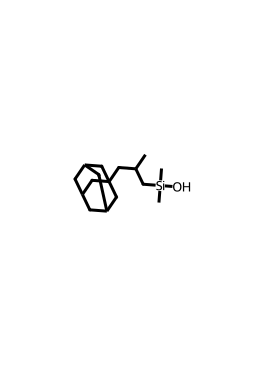 CC(CC12CC3CC(CC(C3)C1)C2)C[Si](C)(C)O